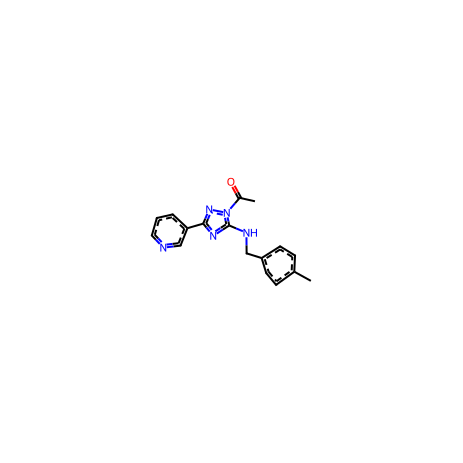 CC(=O)n1nc(-c2cccnc2)nc1NCc1ccc(C)cc1